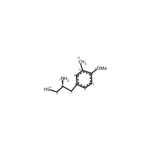 COc1ccc(C[C@H](N)CS)cc1C